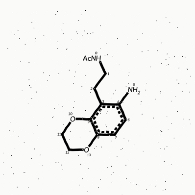 CC(=O)NCCc1c(N)ccc2c1OCCO2